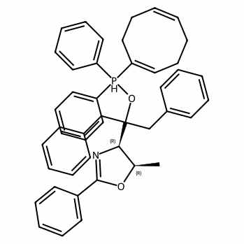 C[C@H]1OC(c2ccccc2)=N[C@H]1C(Cc1ccccc1)(Cc1ccccc1)O[PH](C1=CCCC=CCC1)(c1ccccc1)c1ccccc1